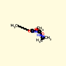 CCCCCCCCCCOc1ccc(C(=O)Nc2cc(C(=O)Nc3cc(C)cc(C)n3)ccc2OC)cc1